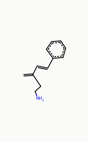 [CH]=C(C=Cc1ccccc1)CCN